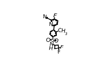 Cc1cc(S(=O)(=O)NC2CC(F)(F)C2)ccc1-c1ccc(F)c(C#N)n1